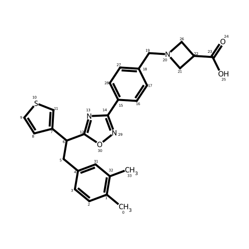 Cc1ccc(CC(c2ccsc2)c2nc(-c3ccc(CN4CC(C(=O)O)C4)cc3)no2)cc1C